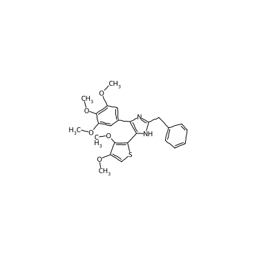 COc1cc(-c2nc(Cc3ccccc3)[nH]c2-c2scc(OC)c2OC)cc(OC)c1OC